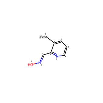 CCCC(C)c1cccnc1/C=N/O